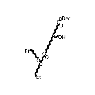 CC/C=C\CCCCOC(CCC(=O)OCCCCCCCCN(CCO)CCCCCC(=O)OCCCCCCCCCCC)OCCCC/C=C\CC